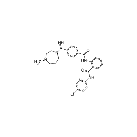 CN1CCCN(C(=N)c2ccc(C(=O)Nc3ccccc3C(=O)Nc3ccc(Cl)cn3)cc2)CC1